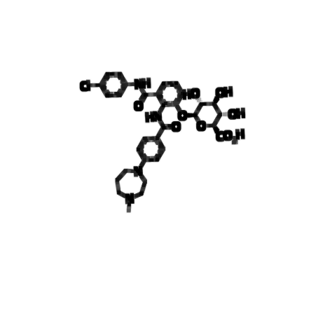 CN1CCCN(c2ccc(C(=O)Nc3c(O[C@@H]4O[C@H](C(=O)O)[C@@H](O)[C@H](O)[C@H]4O)cccc3C(=O)Nc3ccc(Cl)cc3)cc2)CC1